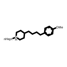 CCCCCCC[SiH]1CCC(CCCCc2ccc(OC)cc2)CC1